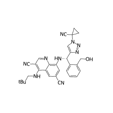 CC(C)(C)CNc1c(C#N)cnc2c(N[C@H](c3cn(C4(C#N)CC4)nn3)c3ccccc3CO)cc(C#N)cc12